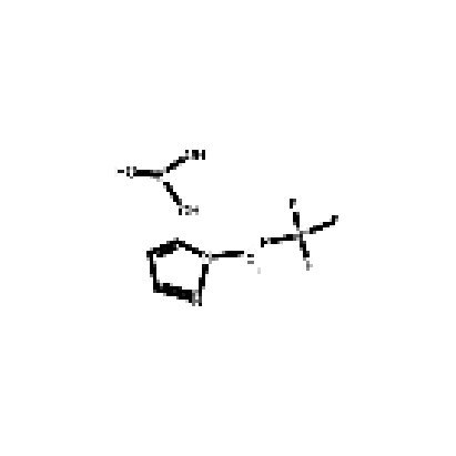 Cn1cccn1.F[B-](F)(F)F.OB(O)O